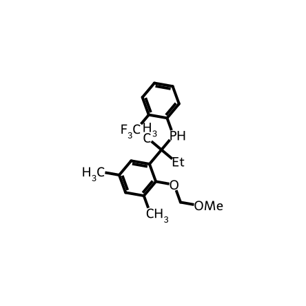 CCC(C)(Pc1ccccc1C(F)(F)F)c1cc(C)cc(C)c1OCOC